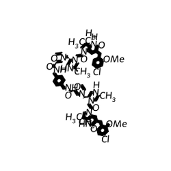 COc1cc(Cl)ccc1Cc1cc2c([nH]c1=O)C(C)(C)CN2C(=O)CN1C[C@@H](C)NC[C@@H]1CN1CCO[C@H](C(=O)NCc2ccc(CNC(=O)[C@@H]3CN(C[C@H]4CN[C@H](C)CN4CC(=O)N4CC(C)(C)c5[nH]c(=O)c(Cc6ccc(Cl)cc6OC)cc54)CCO3)cc2)C1